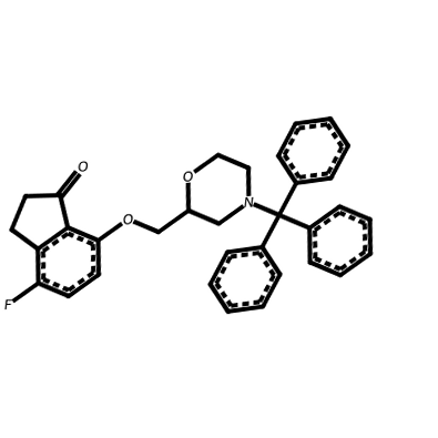 O=C1CCc2c(F)ccc(OCC3CN(C(c4ccccc4)(c4ccccc4)c4ccccc4)CCO3)c21